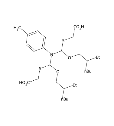 CCCCC(CC)COC(SCC(=O)O)N(c1ccc(C)cc1)C(OCC(CC)CCCC)SCC(=O)O